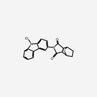 CCn1c2ccccc2c2cc(N3C(=O)C4C5CCC(O5)C4C3=O)ccc21